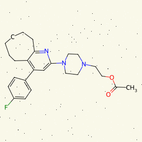 CC(=O)OCCN1CCN(c2cc(-c3ccc(F)cc3)c3c(n2)CCCCCC3)CC1